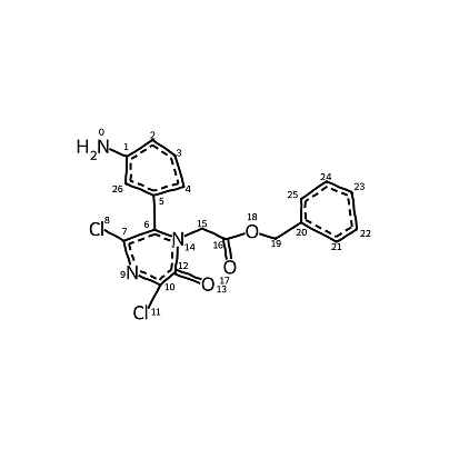 Nc1cccc(-c2c(Cl)nc(Cl)c(=O)n2CC(=O)OCc2ccccc2)c1